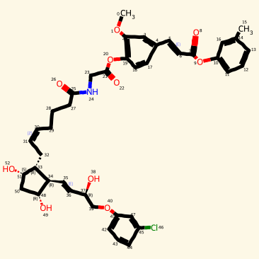 COc1cc(/C=C/C(=O)Oc2cccc(C)c2)ccc1OC(=O)CNC(=O)CCC/C=C\C[C@@H]1[C@@H](/C=C/[C@@H](O)COc2cccc(Cl)c2)[C@H](O)C[C@@H]1O